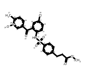 COC(=O)CCc1ccc(S(=O)(=O)Nc2ccc(Cl)cc2C(=O)c2ccc(C)[n+]([O-])c2)cc1